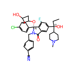 CC[C@@](O)(c1cc(F)c2c(c1)C(=O)N(Cc1ccc(C#N)cc1)[C@@]2(OC1CC(O)C1)c1ccc(Cl)cc1)C1CCN(C)CC1